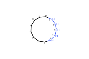 C1CCCCNNNNNCCC1